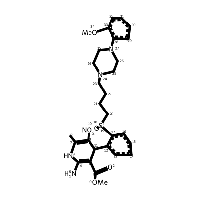 COC(=O)C1=C(N)NC(C)=C([N+](=O)[O-])C1c1ccccc1[S+]([O-])CCCCN1CCN(c2ccccc2OC)CC1